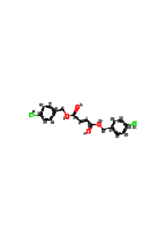 O=C(C=CC(=O)OCc1ccc(Cl)cc1)OCc1ccc(Cl)cc1